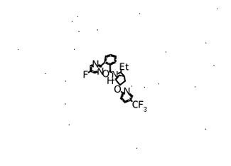 CCC1C2C[C@@H](Oc3ccc(C(F)(F)F)cn3)[C@H](C2)N1C(=O)c1ccccc1-c1ncc(F)cn1